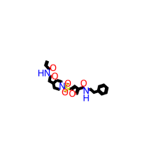 C=CC(=O)NC1CC2CCN(S(=O)(=O)c3cc(C(=O)NCCc4ccccc4)co3)CC2O1